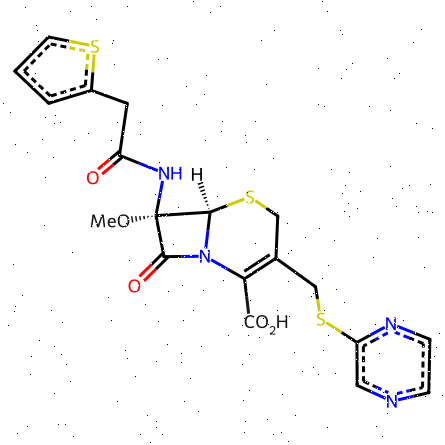 CO[C@@]1(NC(=O)Cc2cccs2)C(=O)N2C(C(=O)O)=C(CSc3cnccn3)CS[C@@H]21